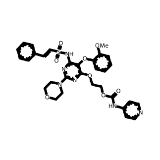 COc1ccccc1Oc1c(NS(=O)(=O)C=Cc2ccccc2)nc(N2CCOCC2)nc1OCCOC(=O)Nc1ccncc1